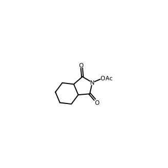 CC(=O)ON1C(=O)C2CCCCC2C1=O